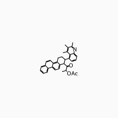 CC(=O)OC(C)C(=O)C1c2ccc3c(ccc4ccccc43)c2CCC1c1cccc2nc(C)c(C)c(C)c12